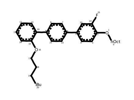 CCCCCCCCOc1ccc(-c2ccc(-c3ccccc3OCCCC(C)CC)cc2)cc1F